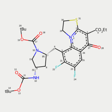 CCOC(=O)c1c2n(c3c(C[C@@H]4C[C@H](NC(=O)OC(C)(C)C)CN4C(=O)OC(C)(C)C)c(F)c(F)cc3c1=O)CCS2